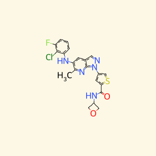 Cc1nc2c(cnn2-c2csc(C(=O)NC3COC3)c2)cc1Nc1cccc(F)c1Cl